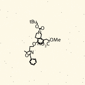 COC(Cc1ccc(OCCC2N=C(c3ccccc3)OC2C)c2c1CN(C(=O)OCC(C)(C)C)CC2)C(=O)O